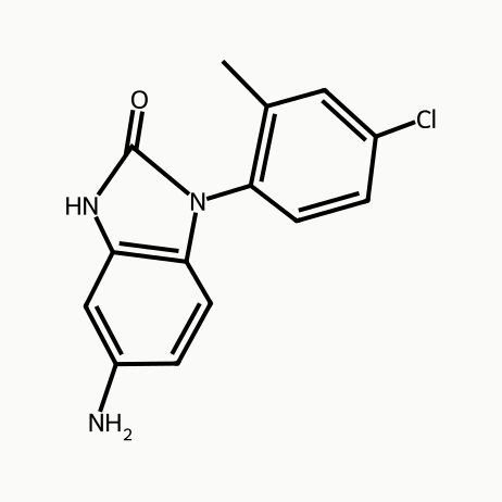 Cc1cc(Cl)ccc1-n1c(=O)[nH]c2cc(N)ccc21